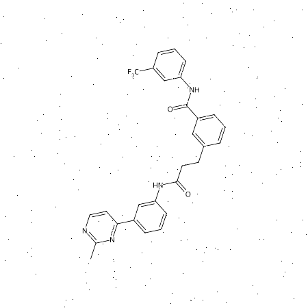 Cc1nccc(-c2cccc(NC(=O)CCc3cccc(C(=O)Nc4cccc(C(F)(F)F)c4)c3)c2)n1